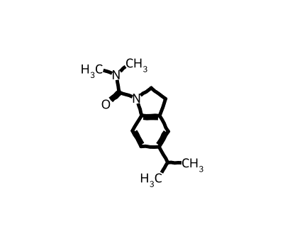 CC(C)c1ccc2c(c1)CCN2C(=O)N(C)C